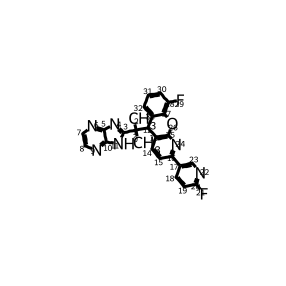 CC(C)(c1nc2nccnc2[nH]1)C1c2ccc(-c3ccc(F)nc3)nc2Oc2c(F)cccc21